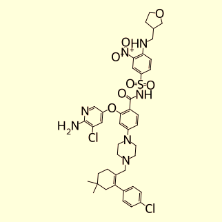 CC1(C)CCC(CN2CCN(c3ccc(C(=O)NS(=O)(=O)c4ccc(NCC5CCOC5)c([N+](=O)[O-])c4)c(Oc4cnc(N)c(Cl)c4)c3)CC2)=C(c2ccc(Cl)cc2)C1